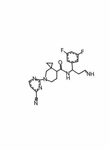 N#Cc1ccnc(N2CCC(C(=O)NC(CC=N)c3cc(F)cc(F)c3)C3(CC3)C2)n1